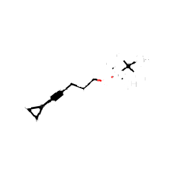 CC(C)(C)[Si](C)(C)OCCCC#CC1CC1